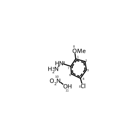 COc1ccc(Cl)cc1NN.O=[N+]([O-])O